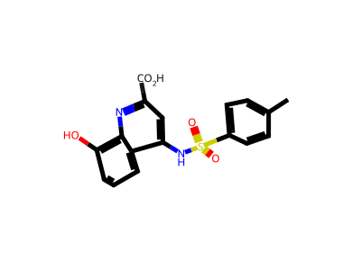 Cc1ccc(S(=O)(=O)Nc2cc(C(=O)O)nc3c(O)cccc23)cc1